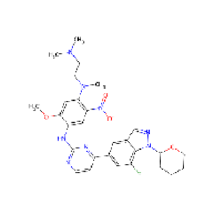 COc1cc(N(C)CCN(C)C)c([N+](=O)[O-])cc1Nc1nccc(-c2cc(F)c3c(cnn3C3CCCCO3)c2)n1